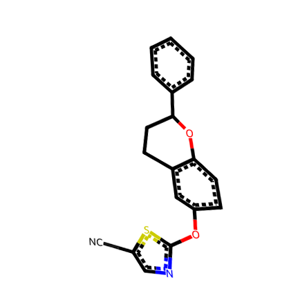 N#Cc1cnc(Oc2ccc3c(c2)CCC(c2ccccc2)O3)s1